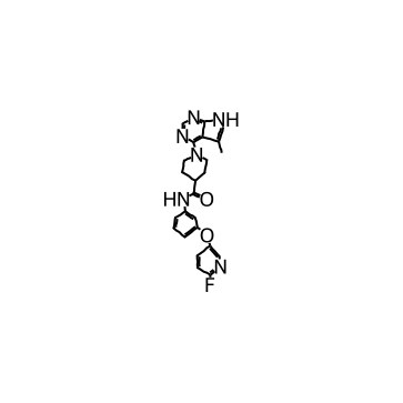 Cc1c[nH]c2ncnc(N3CCC(C(=O)Nc4cccc(Oc5ccc(F)nc5)c4)CC3)c12